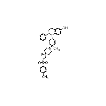 Cc1ccc(S(=O)(=O)OCC2(F)CCN(C3(C)C=C[C@H]([C@@H]4c5ccc(O)cc5CC[C@@H]4c4ccccc4)CC3)CC2)cc1